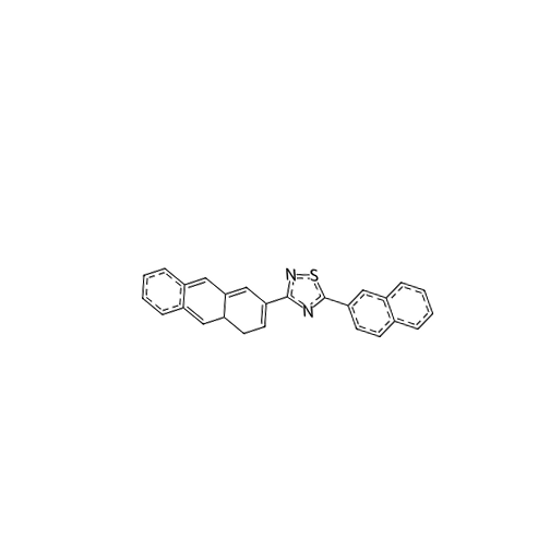 C1=C(c2nsc(-c3ccc4ccccc4c3)n2)C=C2C=c3ccccc3=CC2C1